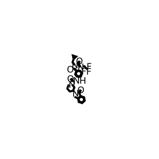 O=C(Nc1ccc2c(c1)c(=O)n(CC1CC1)c(=O)n2CC(F)(F)F)N1CCC[C@@H](N2Cc3ccccc3C2=O)C1